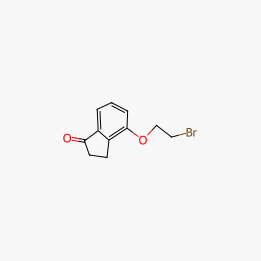 O=C1CCc2c(OCCBr)cccc21